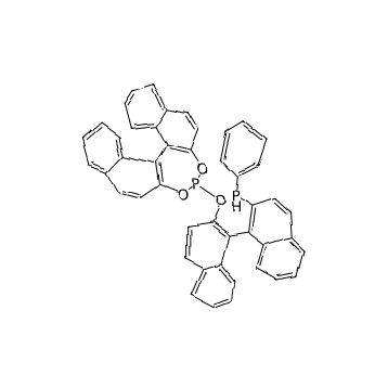 c1ccc(Pc2ccc3ccccc3c2-c2c(Op3oc4ccc5ccccc5c4c4c(ccc5ccccc54)o3)ccc3ccccc23)cc1